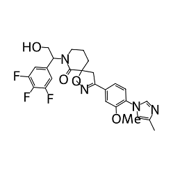 COc1cc(C2=NOC3(CCCN(C(CO)c4cc(F)c(F)c(F)c4)C3=O)C2)ccc1-n1cnc(C)c1